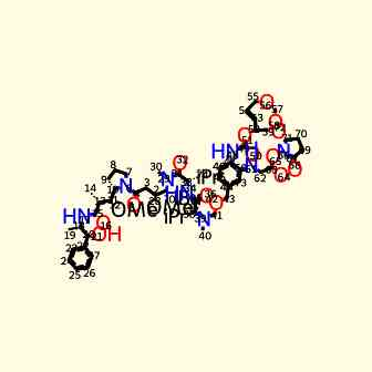 CC[C@H](C)[C@@H]([C@@H](CC(=O)N1CCC[C@H]1[C@H](OC)[C@@H](C)C(=O)N[C@H](C)[C@@H](O)c1ccccc1)OC)N(C)C(=O)[C@@H](NC(=O)[C@H](C(C)C)N(C)COCc1ccc(NC(=O)OC2/C=C/COCOC2)c(NCC(=O)ON2C(=O)CCC2=O)c1)C(C)C